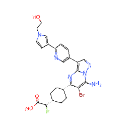 Nc1c(Br)c([C@H]2CC[C@@H](C(F)C(=O)O)CC2)nc2c(-c3ccc(-c4ccn(CCO)c4)nc3)cnn12